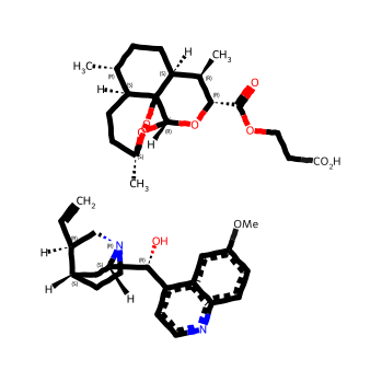 C=C[C@H]1C[N@]2CC[C@H]1C[C@H]2[C@H](O)c1ccnc2ccc(OC)cc12.C[C@H]1[C@H](C(=O)OCCC(=O)O)O[C@@H]2O[C@]3(C)CC[C@H]4[C@H](C)CC[C@@H]1C24OO3